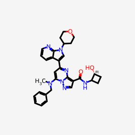 CN(Cc1ccccc1)c1cc(-c2cn(C3CCOCC3)c3ncccc23)nc2c(C(=O)NC3CC[C@H]3O)cnn12